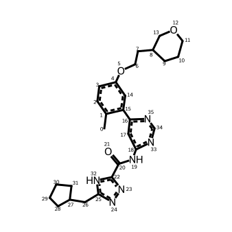 Cc1ccc(OCCC2CCCOC2)cc1-c1cc(NC(=O)c2nnc(CC3CCCC3)[nH]2)ncn1